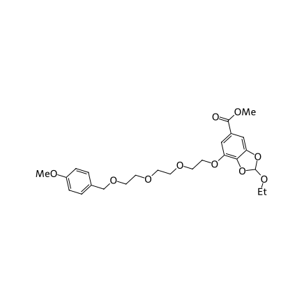 CCOC1Oc2cc(C(=O)OC)cc(OCCOCCOCCOCc3ccc(OC)cc3)c2O1